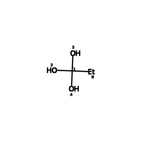 [CH2]CC(O)(O)O